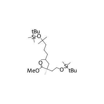 COC(=O)[C@](C)(CCO[Si](C)(C)C(C)(C)C)CC(C)CCCC(C)(C)O[Si](C)(C)C(C)(C)C